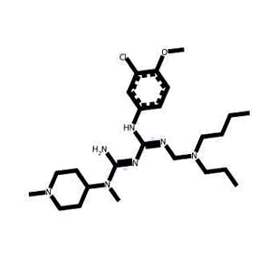 CCCCN(CCC)C/N=C(\N=C(/N)N(C)C1CCN(C)CC1)Nc1ccc(OC)c(Cl)c1